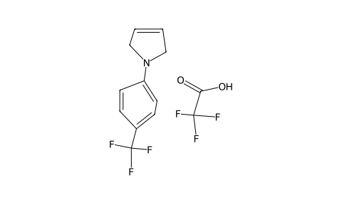 FC(F)(F)c1ccc(N2CC=CC2)cc1.O=C(O)C(F)(F)F